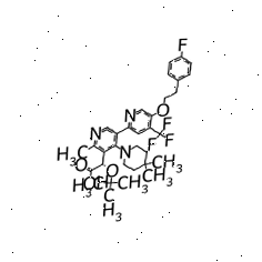 Cc1ncc(-c2cc(C(F)(F)F)c(OCCc3ccc(F)cc3)cn2)c(N2CCC(C)(C)CC2)c1[C@H](OC(C)(C)C)C(=O)O